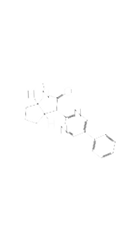 CN1C(=O)[C@@H](c2ncc(-c3ccccc3)cn2)[C@@H]2CCC[C@@H]21